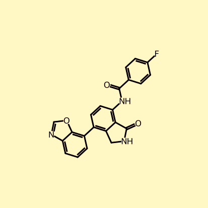 O=C(Nc1ccc(-c2cccc3ncoc23)c2c1C(=O)NC2)c1ccc(F)cc1